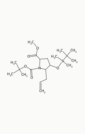 C=CCC1C(O[Si](C)(C)C(C)(C)C)CC(C(=O)OC)N1C(=O)OC(C)(C)C